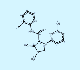 CN1C[C@H](c2cccc(C#N)c2)[C@@H](C(=O)Nc2ccccc2F)C1=O